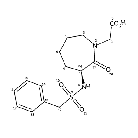 O=C(O)CN1CCCC[C@H](NS(=O)(=O)Cc2ccccc2)C1=O